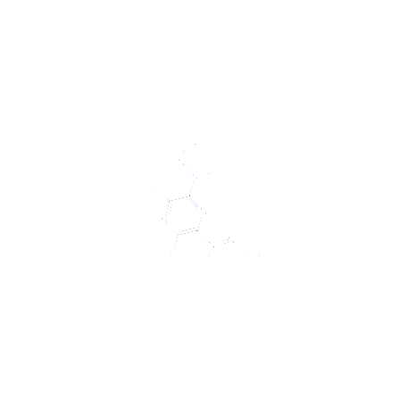 CC(C)(C)/N=[N+](\[O-])c1nc(/[N+]([O-])=N/C(C)(C)C)c(Br)nc1Br